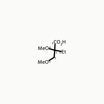 CCC(COC)(OC)C(=O)O